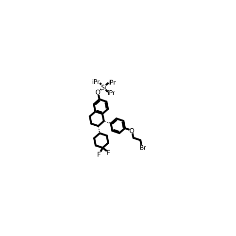 CC(C)[Si](Oc1ccc2c(c1)CC[C@@H](C1CCC(F)(F)CC1)[C@H]2c1ccc(OCCBr)cc1)(C(C)C)C(C)C